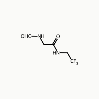 O=CNCC(=O)NCC(F)(F)F